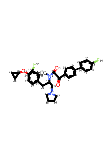 CN(C(=O)C(=O)c1ccc(-c2ccc(F)cc2)cc1)C(Cc1ccc(OC2CC2)c(F)c1)CN1CCCC1